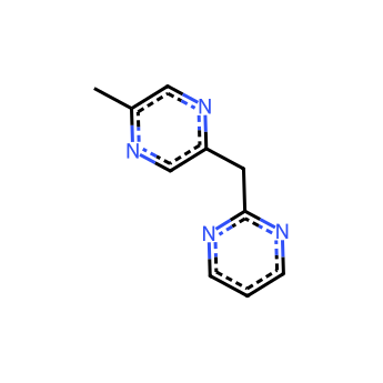 Cc1cnc(Cc2ncccn2)cn1